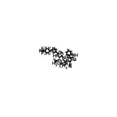 CC(C)(C)C[C@H](NC(=O)[C@H](CC1CC1)NC(=O)c1cnn(-c2ccc(C(F)(F)F)cc2)c1)C(=O)N1C[C@]2(C[C@H]1C#N)C(=O)Nc1ccccc12